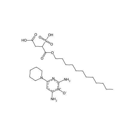 CCCCCCCCCCCCOC(=O)C(CC(=O)O)S(=O)(=O)O.Nc1cc(N2CCCCC2)nc(N)[n+]1[O-]